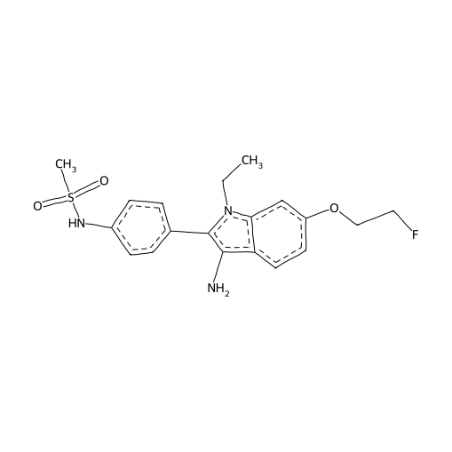 CCn1c(-c2ccc(NS(C)(=O)=O)cc2)c(N)c2ccc(OCCF)cc21